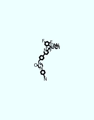 N#Cc1ccc(N2CCN(Cc3ccc(-c4ccc(C(F)(F)[C@](O)(Cn5cnnn5)c5ccc(F)cc5F)nc4)cc3)C(=O)C2)cc1